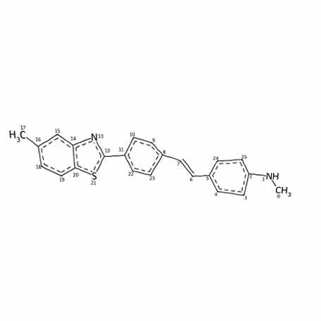 CNc1ccc(/C=C/c2ccc(-c3nc4cc(C)ccc4s3)cc2)cc1